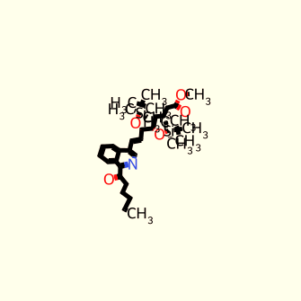 CCCCCC(=O)c1ncc(/C=C/[C@@H](O[Si](C)(C)C(C)(C)C)C(CCCC(=O)OC)O[Si](C)(C)C(C)(C)C)c2ccccc12